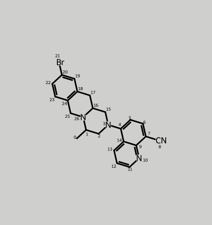 CC1CN(c2ccc(C#N)c3ncccc23)CC2Cc3cc(Br)ccc3CN12